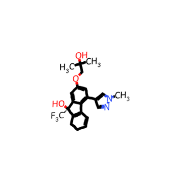 Cn1cc(-c2cc(OCC(C)(C)O)cc3c2C2=C(CCC=C2)[C@]3(O)C(F)(F)F)cn1